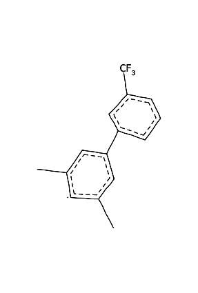 Cc1[c]c(C)cc(-c2cccc(C(F)(F)F)c2)c1